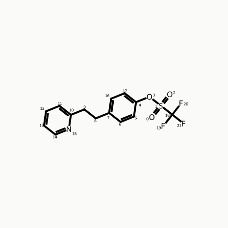 O=S(=O)(Oc1ccc(CCc2ccccn2)cc1)C(F)(F)F